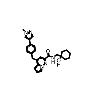 Cn1cc(-c2ccc(Cc3cc(C(=O)NCC4(O)CCCCC4)nn4cccc34)cc2)cn1